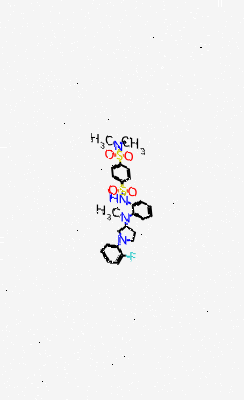 CN(c1ccccc1NS(=O)(=O)c1ccc(S(=O)(=O)N(C)C)cc1)C1CCN(c2ccccc2F)C1